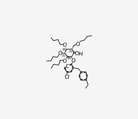 CCCCOC[C@H]1[C@H](O)[C@@H](Oc2ccc(Cl)cc2Cc2ccc(CC)cc2)[C@H](OCCCC)[C@@H](OCCCC)[C@@H]1OCCCC